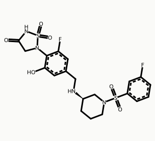 O=C1CN(c2c(O)cc(CN[C@@H]3CCCN(S(=O)(=O)c4cccc(F)c4)C3)cc2F)S(=O)(=O)N1